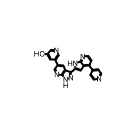 Oc1cncc(-c2cnc3[nH]nc(-c4cc5c(-c6ccncc6)ccnc5[nH]4)c3c2)c1